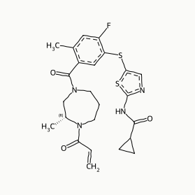 C=CC(=O)N1CCCN(C(=O)c2cc(Sc3cnc(NC(=O)C4CC4)s3)c(F)cc2C)C[C@H]1C